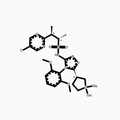 COc1cccc(OC)c1-n1c(NS(=O)(=O)[C@@H](C)[C@H](C)c2ncc(Cl)cn2)nnc1[C@H]1CCS(O)(O)C1